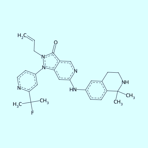 C=CCn1c(=O)c2cnc(Nc3ccc4c(c3)CCNC4(C)C)cc2n1-c1ccnc(C(C)(C)F)c1